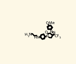 COc1ccc(-n2nc(C(F)(F)F)c3c2C(=O)N(c2ccc(NCCCN)cc2)CC3)cc1